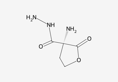 NNC(=O)[C@]1(N)CCOC1=O